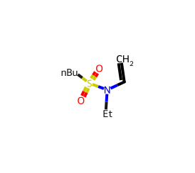 C=CN(CC)S(=O)(=O)CCCC